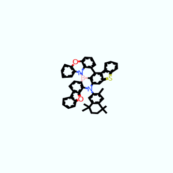 Cc1cc2c(cc1N1c3cc4sc5ccccc5c4c4c3B(c3ccc5c(oc6ccccc65)c31)N1c3ccccc3Oc3cccc-4c31)C(C)(C)CCC2(C)C